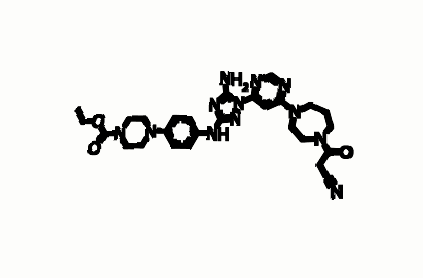 CCOC(=O)N1CCN(c2ccc(Nc3nc(N)n(-c4cc(N5CCCN(C(=O)CC#N)CC5)ncn4)n3)cc2)CC1